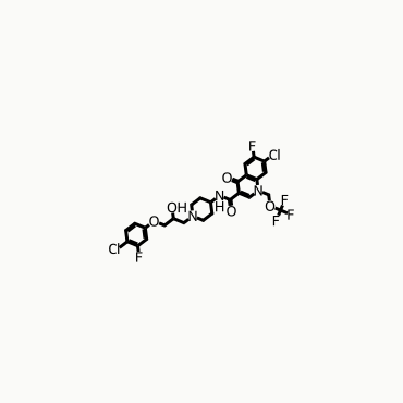 O=C(NC1CCN(CC(O)COc2ccc(Cl)c(F)c2)CC1)c1cn(COC(F)(F)F)c2cc(Cl)c(F)cc2c1=O